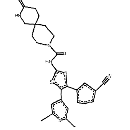 Cc1cc(-c2sc(NC(=O)N3CCC4(CCC(=O)NC4)CC3)nc2-c2cccc(C#N)c2)cc(C)n1